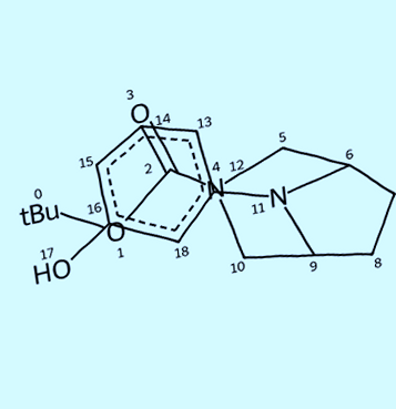 CC(C)(C)OC(=O)N1CC2CCC(C1)N2c1cccc(O)c1